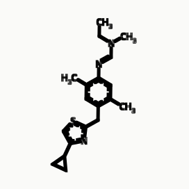 CCN(C)/C=N/c1cc(C)c(Cc2nc(C3CC3)cs2)cc1C